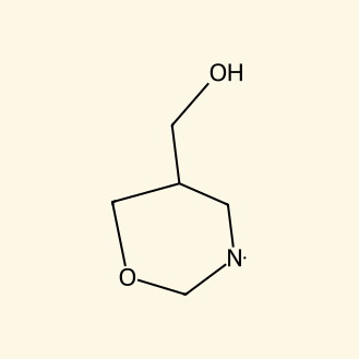 OCC1C[N]COC1